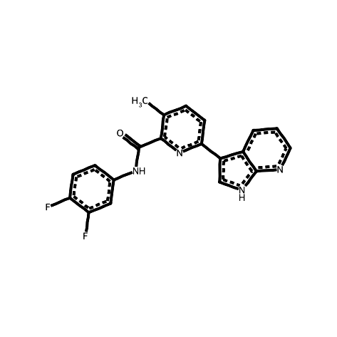 Cc1ccc(-c2c[nH]c3ncccc23)nc1C(=O)Nc1ccc(F)c(F)c1